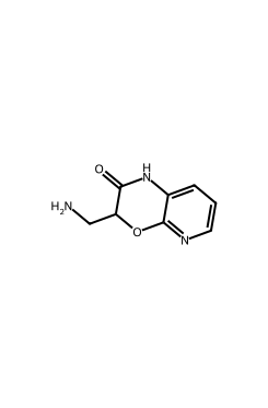 NCC1Oc2ncccc2NC1=O